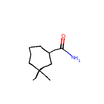 CC1(C)CCCC(C(N)=O)C1